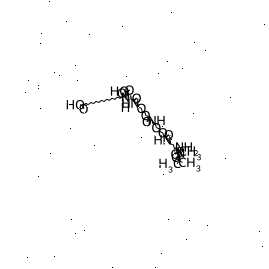 CC(C)C(=O)CN(C)C(=O)[C@H](N)CCCCNC(=O)COCCOCCNC(=O)COCCOCCNC(=O)CC[C@H](NC(=O)CCCCCCCCCCCCCCC(=O)O)C(=O)O